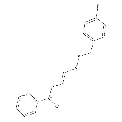 [O-][S+](C/C=C/SSCc1ccc(F)cc1)c1ccccc1